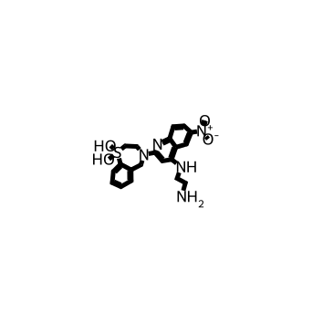 NCCNc1cc(N2CCS(O)(O)c3ccccc3C2)nc2ccc([N+](=O)[O-])cc12